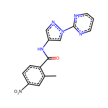 Cc1cc([N+](=O)[O-])ccc1C(=O)Nc1cnn(-c2ncccn2)c1